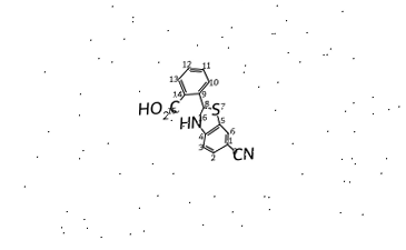 N#Cc1ccc2c(c1)SC(c1ccccc1C(=O)O)N2